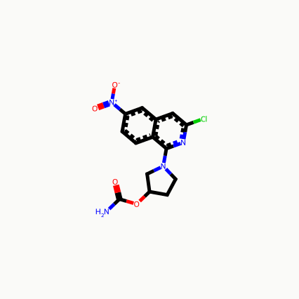 NC(=O)OC1CCN(c2nc(Cl)cc3cc([N+](=O)[O-])ccc23)C1